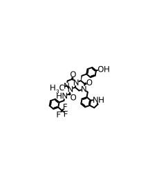 CN1CC(=O)N2C(CN(Cc3cccc4c3NCC4)C(=O)[C@@H]2Cc2ccc(O)cc2)N1C(=O)NCc1ccccc1C(F)(F)F